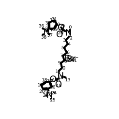 CN(CCCCCCCCCCN(C)C(=O)Oc1cccc([N+](C)(C)C)c1)C(=O)Oc1cccc([N+](C)(C)C)c1.[Br-].[Br-]